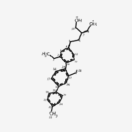 CCc1cc(CCC(CO)CO)ccc1-c1ccc(-c2ccc(C)cc2)cc1F